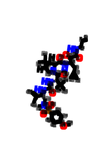 C=CCNC(=O)C(=O)C(CC1CC1)NC(=O)[C@@H]1[C@@H]2[C@H](CN1C(=O)[C@@H](NC(=O)N[C@H](CN(C)S(=O)(=O)c1ccc(OC)cc1)C(=C)C)C(C)(C)C)C2(C)C